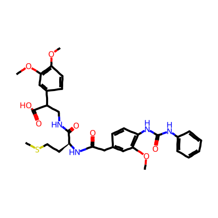 COc1cc(CC(=O)N[C@@H](CCSC)C(=O)NCC(C(=O)O)c2ccc(OC)c(OC)c2)ccc1NC(=O)Nc1ccccc1